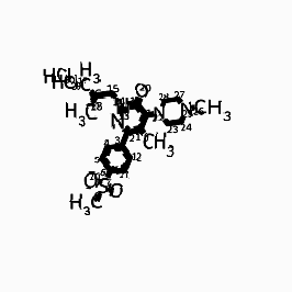 Cc1c(-c2ccc(S(C)(=O)=O)cc2)nn(CC(C)C)c(=O)c1N1CCN(C)CC1.Cl.Cl